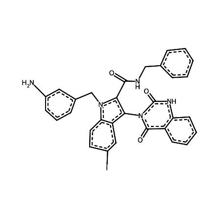 Nc1cccc(Cn2c(C(=O)NCc3ccccc3)c(-n3c(=O)[nH]c4ccccc4c3=O)c3cc(I)ccc32)c1